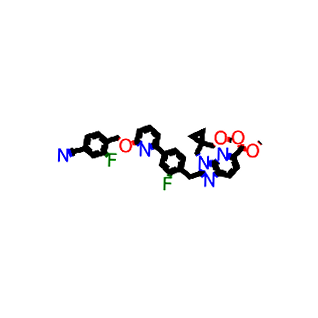 COCC1(Cn2c(Cc3ccc(-c4cccc(OCc5ccc(C#N)cc5F)n4)cc3F)nc3ccc(C(=O)OC)nc32)CC1